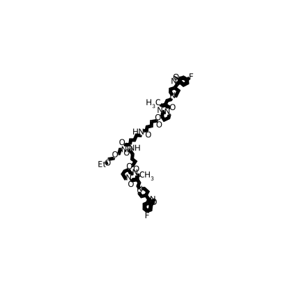 CCOCCOCCNC(=O)C(CCCCNC(=O)CCCC(=O)OC1CCCn2c1nc(C)c(CCN1CCC(c3noc4cc(F)ccc34)CC1)c2=O)NC(=O)CCCC(=O)OC1CCCn2c1nc(C)c(CCN1CCC(c3noc4cc(F)ccc34)CC1)c2=O